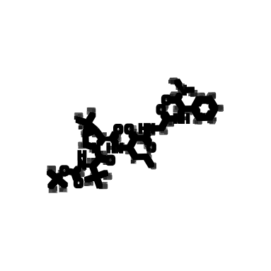 CCCC(NC(=O)[C@@H]1C2C(CN1C(=O)[C@@H](NC(=O)OC(C)(C)C)C(C)(C)C)C2(C)C)C(=O)C(=O)NCC(=O)NC(C(=O)N(C)C)c1ccccc1